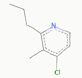 CCCc1nccc(Cl)c1C